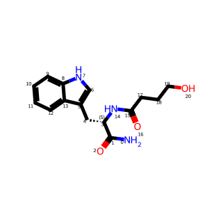 NC(=O)[C@H](Cc1c[nH]c2ccccc12)NC(=O)CCCO